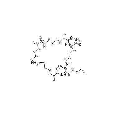 CCCCCC(C)C(=O)NC(CCCCC)C(=O)NCCCCC(NC(=O)C(C)CCCCNC(=O)C(C)CCCCN)C(N)=O